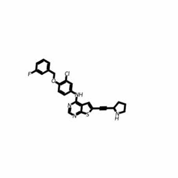 Fc1cccc(COc2ccc(Nc3ncnc4sc(C#CC5CCCN5)cc34)cc2Cl)c1